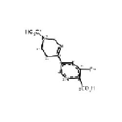 O=C(O)c1ncc(C2=CCN(C(=O)O)CC2)cc1F